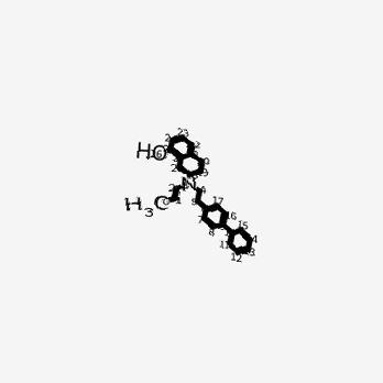 CCCN(CCc1ccc(-c2ccccc2)cc1)C1CCc2cccc(O)c2C1